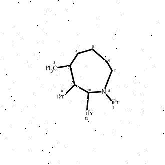 CC(C)C1C(C)CCCCN(C(C)C)C1C(C)C